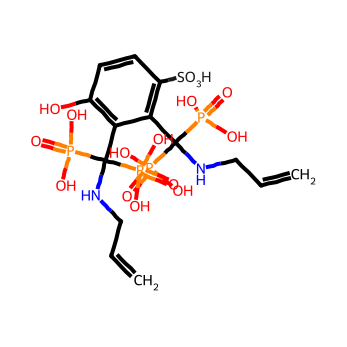 C=CCNC(c1c(O)ccc(S(=O)(=O)O)c1C(NCC=C)(P(=O)(O)O)P(=O)(O)O)(P(=O)(O)O)P(=O)(O)O